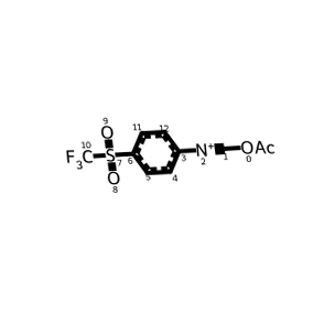 CC(=O)OC#[N+]c1ccc(S(=O)(=O)C(F)(F)F)cc1